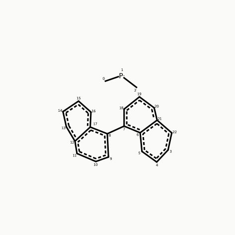 C[P]C.c1ccc2c(-c3cccc4ccccc34)cccc2c1